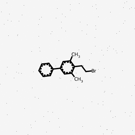 Cc1cc(-c2ccccc2)cc(C)c1[CH]CBr